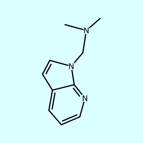 CN(C)Cn1ccc2cccnc21